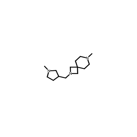 CN1CCC2(CC1)CN(CC1CCN(C)C1)C2